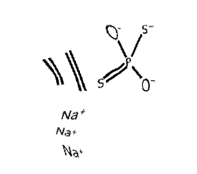 C=C.C=C.[Na+].[Na+].[Na+].[O-]P([O-])(=S)[S-]